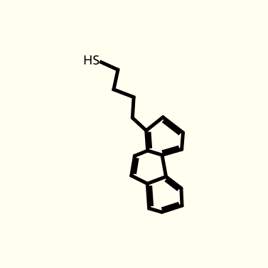 SCCCCc1cccc2c1ccc1ccccc12